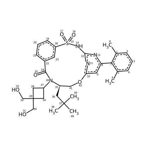 Cc1cccc(C)c1-c1cc2nc(n1)NS(=O)(=O)c1cccc(c1)C(=O)N(C1CC(CO)(CO)C1)[C@H](CC(C)(C)C)CO2